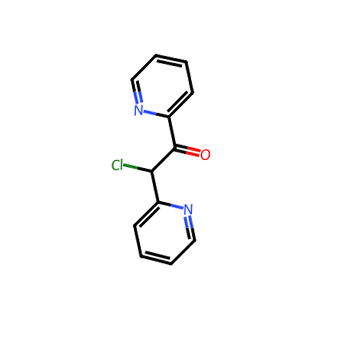 O=C(c1ccccn1)C(Cl)c1ccccn1